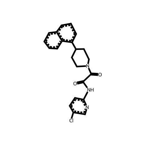 O=C(Nc1ccc(Cl)cn1)C(=O)N1CCC(c2cccc3ccccc23)CC1